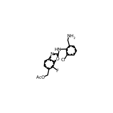 CC(=O)OCc1ccc2nc(Nc3c(Cl)cccc3CN)oc2c1F